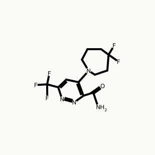 NC(=O)c1nnc(C(F)(F)F)cc1N1CCCC(F)(F)CC1